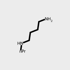 CCCNCCCCN